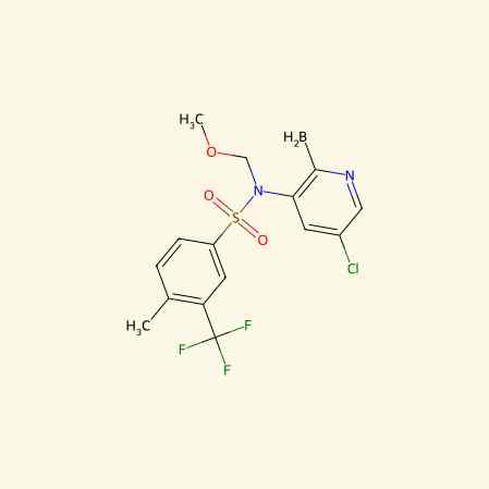 Bc1ncc(Cl)cc1N(COC)S(=O)(=O)c1ccc(C)c(C(F)(F)F)c1